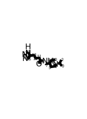 CC(C)N1CCC(CNC(=O)CCCc2cnn[nH]2)CC1